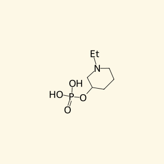 CCN1CCCC(OP(=O)(O)O)C1